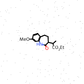 CCOC(=O)C(C)C1CCc2ccc(OC)cc2NC1=O